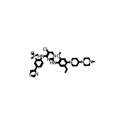 CCc1cc(Nc2ncc(Cl)c(Nc3ccc(-c4cscn4)cc3P(C)(C)=O)n2)c(OC)cc1N1CCC(N2CCN(C)CC2)CC1